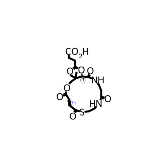 CC1(C)COC(=O)/C=C/C(=O)SCCNC(=O)CCNC(=O)[C@@H]1OC(=O)CCC(=O)O